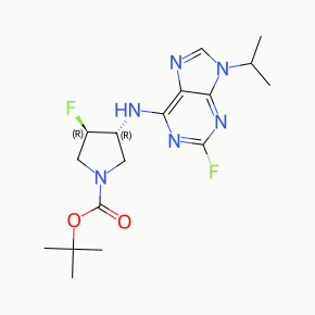 CC(C)n1cnc2c(N[C@@H]3CN(C(=O)OC(C)(C)C)C[C@H]3F)nc(F)nc21